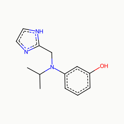 CC(C)N(Cc1ncc[nH]1)c1cccc(O)c1